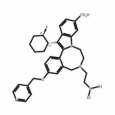 CCN(CC)CCN1CCn2c(c([C@@H]3CCCC[C@H]3F)c3ccc(C(=O)O)cc32)-c2ccc(OCc3ccncc3)cc2C1